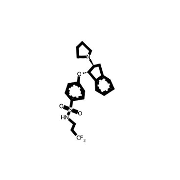 O=S(=O)(NCCC(F)(F)F)c1ccc(O[C@H]2c3ccccc3C[C@@H]2N2CCCC2)cc1